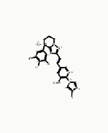 COc1cc(/C=C/c2nc3n(n2)CCC[C@]3(O)c2cc(F)c(F)c(F)c2)cnc1-n1cnc(C)c1